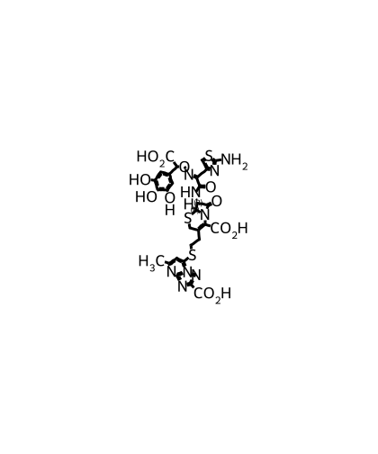 Cc1cc(SCCC2=C(C(=O)O)N3C(=O)[C@@H](NC(=O)C(=NOC(C(=O)O)c4cc(O)c(O)c(O)c4)c4csc(N)n4)[C@H]3SC2)n2nc(C(=O)O)nc2n1